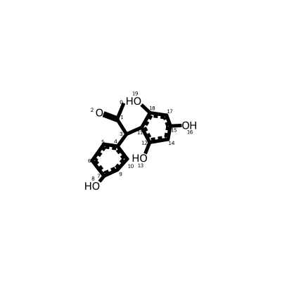 CC(=O)C(c1ccc(O)cc1)c1c(O)cc(O)cc1O